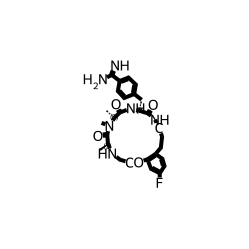 C[C@@H]1NCCOc2cc(F)ccc2CCCNC(=O)[C@@H](Cc2ccc(C(=N)N)cc2)NC(=O)[C@@H](C)N(C)C1=O